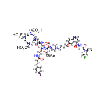 COC(=O)C[C@H](NC(=O)[C@H](CSCCNC(=O)CCCc1ccc(I)cc1)NC(=O)CN1CCN(CC(=O)O)CCN(CC(=O)O)CCN(CC(=O)O)CC1)C(=O)N1CCN(CCCCOc2ccc3nccc(C(=O)NCC(=O)N4CC(F)(F)C[C@@H]4C#N)c3c2)CC1